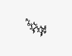 FCOc1ccc(-c2cc(F)c(F)c(F)c2)c(F)c1